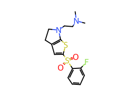 CN(C)CCN1CCc2cc(S(=O)(=O)c3ccccc3F)sc21